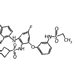 CCS(=O)(=O)Nc1cccc(Oc2cc(F)cc(Nc3ccc(I)cc3F)c2NS(=O)(=O)C2CCC2)c1